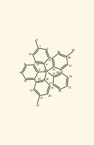 Cc1ccc(P(c2ccccc2)(c2ccccc2)(c2ccc(C)cc2)c2ccc(C)cc2)cc1